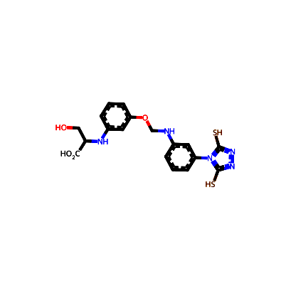 O=C(O)C(CO)Nc1cccc(OCNc2cccc(-n3c(S)nnc3S)c2)c1